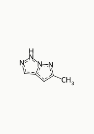 Cc1cc2cn[nH]n2n1